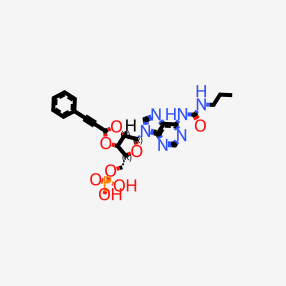 CCCNC(=O)Nc1ncnc2c1ncn2[C@@H]1O[C@H](COP(=O)(O)O)C2OC(C#Cc3ccccc3)O[C@@H]21